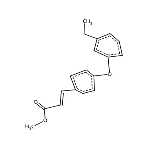 CCc1cccc(Oc2ccc(/C=C/C(=O)OC)cc2)c1